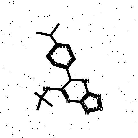 CC(C)c1ccc(C2Nc3nonc3N=C2NC(C)(C)C)cc1